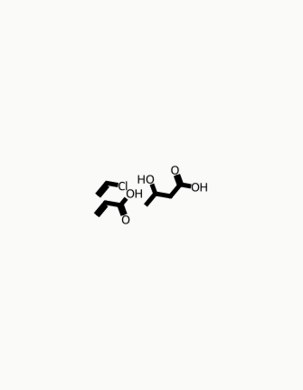 C=CC(=O)O.C=CCl.CC(O)CC(=O)O